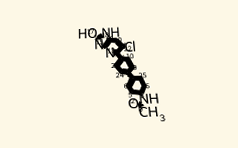 CC(=O)NC1CC=C(c2ccc(-c3nc4nc(O)[nH]c4cc3Cl)cc2)CC1